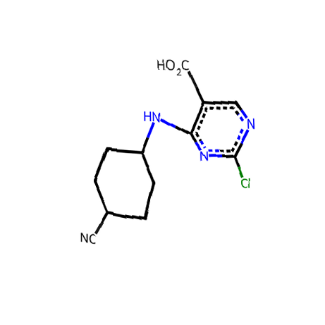 N#CC1CCC(Nc2nc(Cl)ncc2C(=O)O)CC1